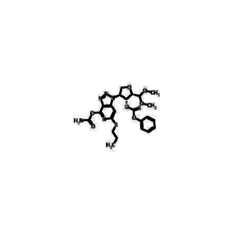 CCCSc1cc2c(nnn2[C@H]2CO[C@@H](C(OC)OC)[C@@H]2OC(=S)Oc2ccccc2)c(OC(N)=O)n1